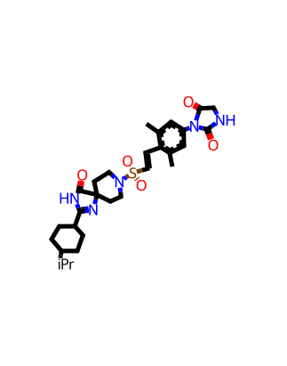 Cc1cc(N2C(=O)CNC2=O)cc(C)c1C=CS(=O)(=O)N1CCC2(CC1)N=C(C1CCC(C(C)C)CC1)NC2=O